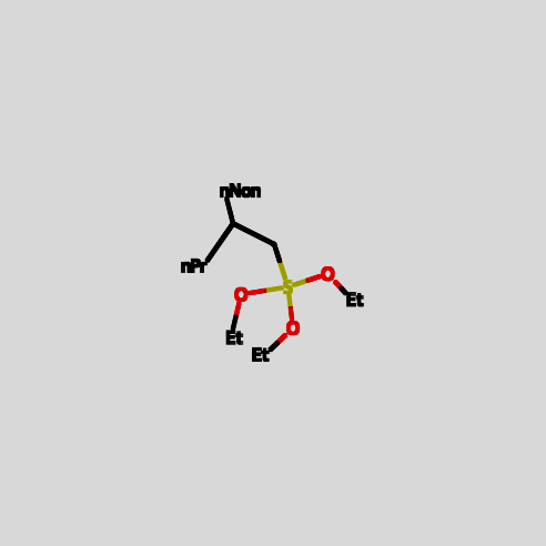 CCCCCCCCCC(CCC)CS(OCC)(OCC)OCC